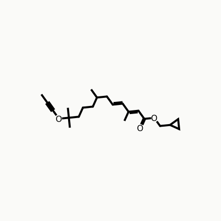 CC#COC(C)(C)CCCC(C)C/C=C/C(C)=C/C(=O)OCC1CC1